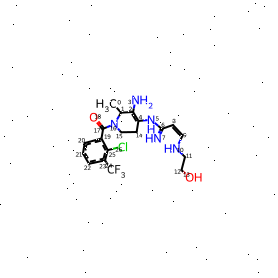 CC1C(N)=C(NC(=N)/C=C\NCCO)CCN1C(=O)c1cccc(C(F)(F)F)c1Cl